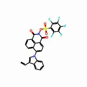 C=Cc1cn(-c2ccc3c4c(cccc24)C(=O)N(OS(=O)(=O)c2c(F)c(F)c(F)c(F)c2F)C3=O)c2ccccc12